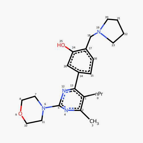 CCCc1c(C)nc(N2CCOCC2)nc1-c1ccc(CN2CCCC2)c(O)c1